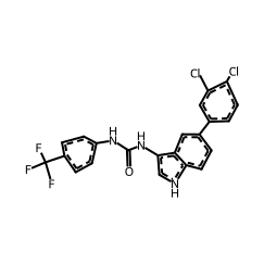 O=C(Nc1ccc(C(F)(F)F)cc1)Nc1c[nH]c2ccc(-c3ccc(Cl)c(Cl)c3)cc12